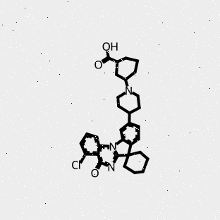 O=C(O)C1CCCC(N2CCC(c3ccc4c(c3)-n3c(nc(=O)c5c(Cl)cccc53)C43CCCCC3)CC2)C1